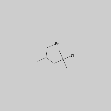 CC(CBr)CC(C)(C)Cl